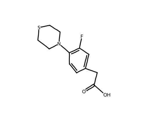 O=C(O)Cc1ccc(N2CCSCC2)c(F)c1